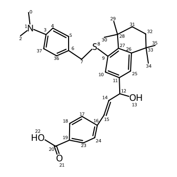 CN(C)c1ccc(CSc2cc(C(O)C=Cc3ccc(C(=O)O)cc3)cc3c2C(C)(C)CCC3(C)C)cc1